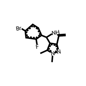 C=C1NC(c2ccc(Br)cc2F)c2c1nn(C)c2C